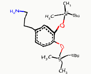 CC(C)(C)[Si](C)(C)Oc1ccc(CCN)cc1O[Si](C)(C)C(C)(C)C